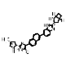 C[C@H]1CN[C@H](c2nc(-c3ccc4cc(-c5ccc6nc([C@@H]7C[C@H]8CC[C@H]8N7)[nH]c6c5)ccc4c3)c(Cl)[nH]2)C1